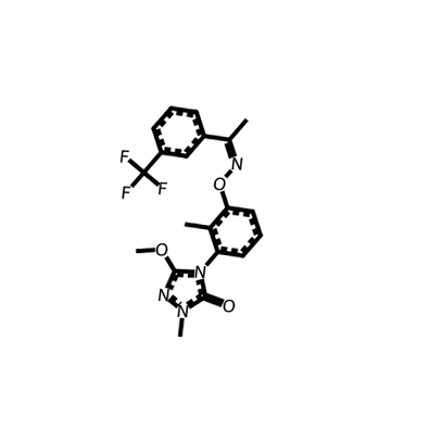 COc1nn(C)c(=O)n1-c1cccc(ON=C(C)c2cccc(C(F)(F)F)c2)c1C